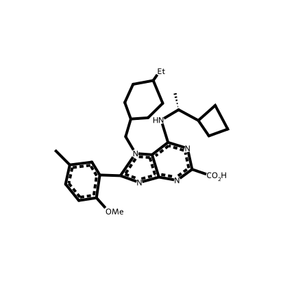 CCC1CCC(Cn2c(-c3cc(C)ccc3OC)nc3nc(C(=O)O)nc(N[C@H](C)C4CCC4)c32)CC1